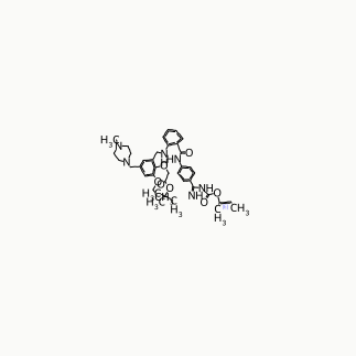 C/C=C(\C)OC(=O)NC(=N)c1ccc(NC(=O)c2ccccc2NCc2cc(CN3CCN(C)CC3)cc(OCC)c2OCC(=O)OC(C)(C)C)cc1